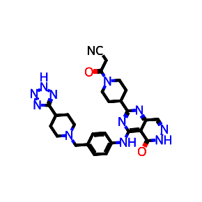 N#CCC(=O)N1CCC(c2nc(Nc3ccc(CN4CCC(c5nn[nH]n5)CC4)cc3)c3c(=O)[nH]ncc3n2)CC1